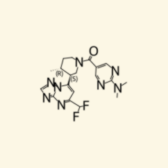 C[C@@H]1CCN(C(=O)c2cnc(N(C)C)nc2)C[C@H]1c1cc(C(F)F)nc2ncnn12